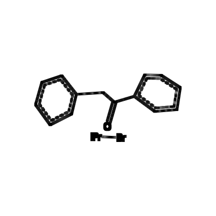 CC(C)Br.O=C(Cc1ccccc1)c1ccccc1